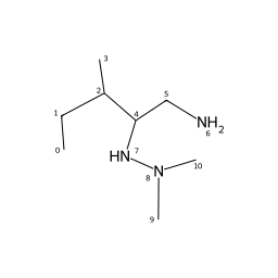 CCC(C)C(CN)NN(C)C